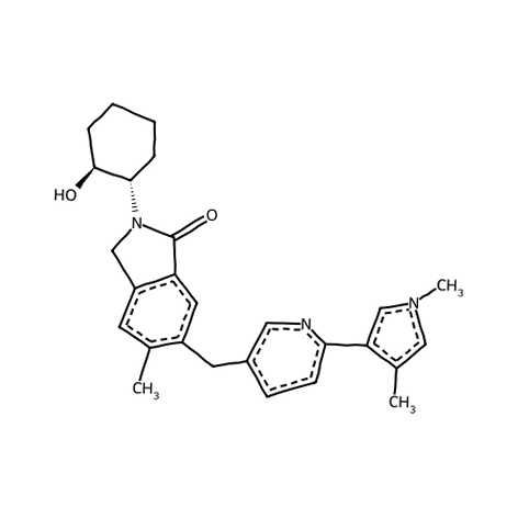 Cc1cc2c(cc1Cc1ccc(-c3cn(C)cc3C)nc1)C(=O)N([C@H]1CCCC[C@@H]1O)C2